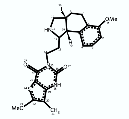 COc1cccc2c1CC[C@H]1CNC(CCn3c(=O)[nH]c4c(C)c(OC)sc4c3=O)[C@@H]21